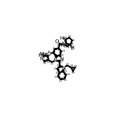 COc1cc(C(=O)N2C[C@H]3CC[C@@H]2[C@@H]3N)cc2nc(-c3cc4ccccc4n3CC3CC3)n(Cc3cn[nH]c3)c12